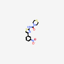 O=C(Nc1nc(-c2cccc([N+](=O)[O-])c2)cs1)N1CCSCC1